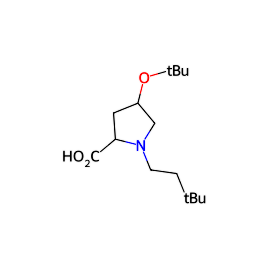 CC(C)(C)CCN1CC(OC(C)(C)C)CC1C(=O)O